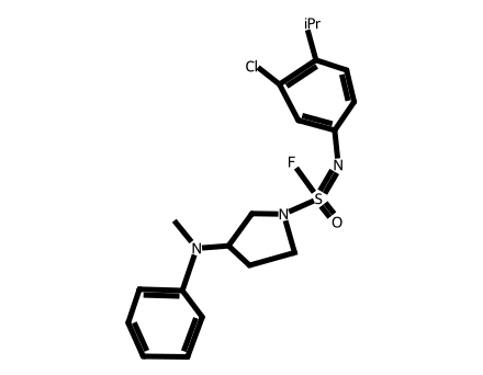 CC(C)c1ccc(N=S(=O)(F)N2CCC(N(C)c3ccccc3)C2)cc1Cl